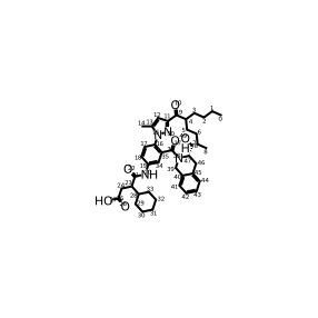 CCCCC(CCCC)C(=O)c1cc(C)n(-c2ccc(NC(=O)C(CC(=O)O)C3CCCCC3)cc2C(=O)N2Cc3ccccc3C[C@H]2CO)n1